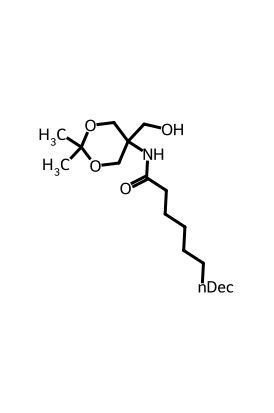 CCCCCCCCCCCCCCCC(=O)NC1(CO)COC(C)(C)OC1